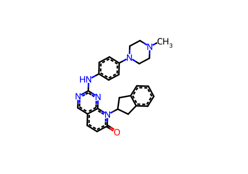 CN1CCN(c2ccc(Nc3ncc4ccc(=O)n(C5Cc6ccccc6C5)c4n3)cc2)CC1